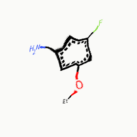 CCOc1cc(N)cc(F)c1